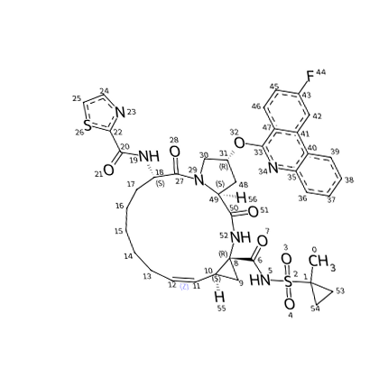 CC1(S(=O)(=O)NC(=O)[C@@]23C[C@H]2/C=C\CCCCC[C@H](NC(=O)c2nccs2)C(=O)N2C[C@H](Oc4nc5ccccc5c5cc(F)ccc45)C[C@H]2C(=O)N3)CC1